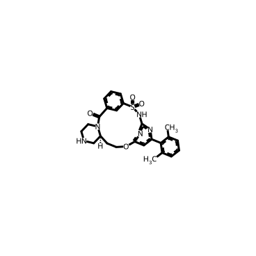 Cc1cccc(C)c1-c1cc2nc(n1)NS(=O)(=O)c1cccc(c1)C(=O)N1CCNC[C@@H]1CCO2